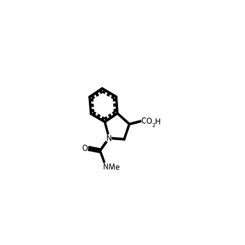 CNC(=O)N1CC(C(=O)O)c2ccccc21